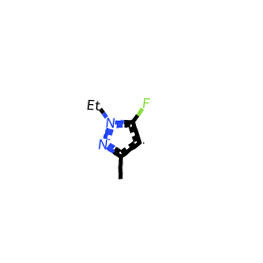 CCn1nc(C)[c]c1F